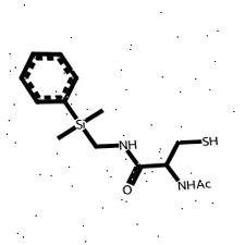 CC(=O)NC(CS)C(=O)NC[Si](C)(C)c1ccccc1